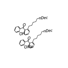 CCCCCCCCCCCCCCCc1ccccc1C(=O)c1ccccc1O.CCCCCCCCCCCCCCCc1ccccc1C(=O)c1ccccc1OC